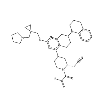 C=C(F)C(=O)N1CCN(c2nc(OCC3(CN4CCCC4)CC3)nc3c2CCC(N2CCCc4ccccc42)C3)C[C@@H]1CC#N